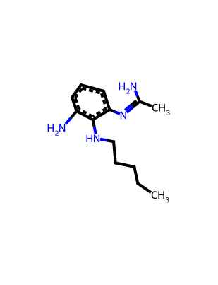 CCCCCNc1c(N)cccc1N=C(C)N